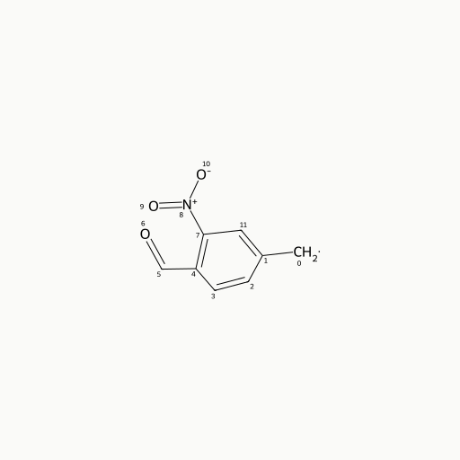 [CH2]c1ccc(C=O)c([N+](=O)[O-])c1